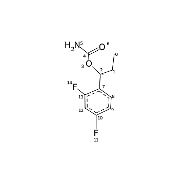 CC[C](OC(N)=O)c1ccc(F)cc1F